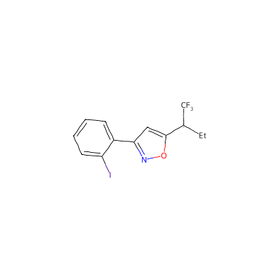 CC[C](c1cc(-c2ccccc2I)no1)C(F)(F)F